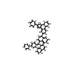 c1ccc(-c2ccc(N(c3cccc4ccccc34)c3ccc(-c4ccc5c6ccccc6c6oc(-c7ccccc7)nc6c5c4)c4ccccc34)cc2)cc1